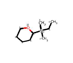 CC[Si](C)(C)C1CCCCO1